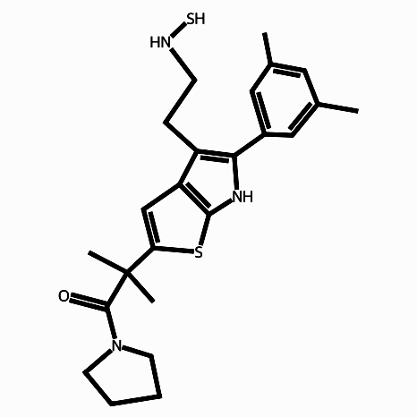 Cc1cc(C)cc(-c2[nH]c3sc(C(C)(C)C(=O)N4CCCC4)cc3c2CCNS)c1